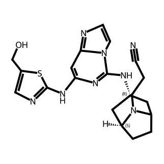 N#CCCN1C2CC[C@H]1C[C@H](Nc1nc(Nc3ncc(CO)s3)cc3nccn13)C2